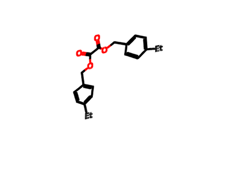 CCc1ccc(COC(=O)C(=O)OCc2ccc(CC)cc2)cc1